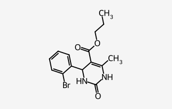 CCCOC(=O)C1=C(C)NC(=O)NC1c1ccccc1Br